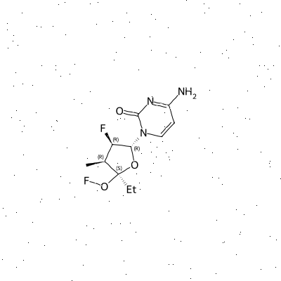 CC[C@@]1(OF)O[C@@H](n2ccc(N)nc2=O)[C@H](F)[C@@H]1C